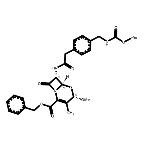 CO[C@H]1S[C@@H]2[C@@H](NC(=O)Cc3ccc(CNC(=O)OC(C)(C)C)cc3)C(=O)N2C(C(=O)OCc2ccccc2)=C1C